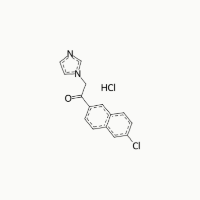 Cl.O=C(Cn1ccnc1)c1ccc2cc(Cl)ccc2c1